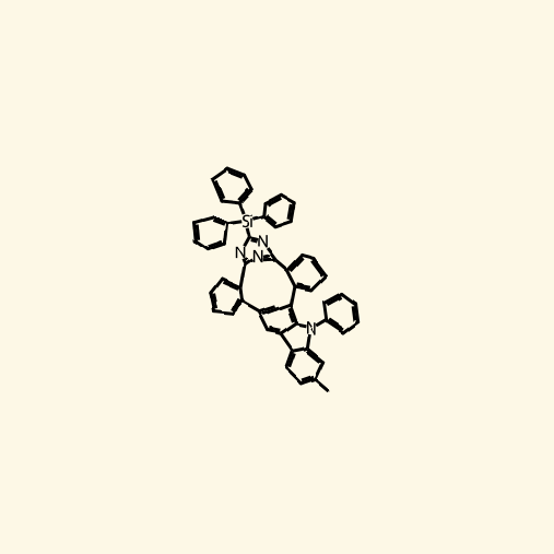 Cc1ccc2c3cc4cc(c5ccccc5c5nc([Si](c6ccccc6)(c6ccccc6)c6ccccc6)nc(n5)c5ccccc45)c3n(-c3ccccc3)c2c1